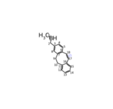 CBCc1ccc2c(c1)CCc1ccccc1/C=C\2